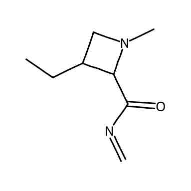 C=NC(=O)C1C(CC)CN1C